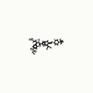 CCS(=O)(=O)c1ccc([C@H](/C=C/O)NC(=O)c2cc3c(s2)C(C(C)C)N(C#C[C@H]2CC[C@H](C(F)(F)F)CC2)C3)cc1